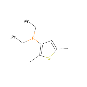 Cc1cc(P(CC(C)C)CC(C)C)c(C)s1